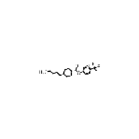 CCCCC[C@H]1CC[C@H](C(=O)Oc2ccc(C(F)(F)F)nc2)CC1